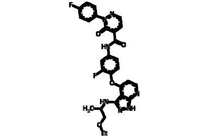 CCOCC(C)Nc1n[nH]c2nccc(Oc3ccc(NC(=O)c4ccnn(-c5ccc(F)cc5)c4=O)cc3F)c12